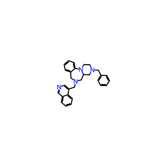 c1ccc(CN2CCN3c4ccccc4CN(Cc4cncc5ccccc45)CC3C2)cc1